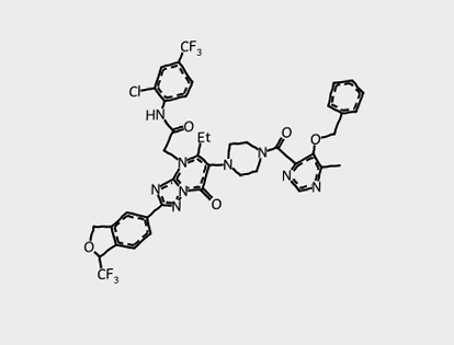 CCc1c(N2CCN(C(=O)c3ncnc(C)c3OCc3ccccc3)CC2)c(=O)n2nc(-c3ccc4c(c3)COC4C(F)(F)F)nc2n1CC(=O)Nc1ccc(C(F)(F)F)cc1Cl